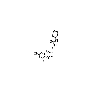 Cc1cc(Cl)ccc1OC(C)C(=O)OCNC(=O)Oc1ccccc1